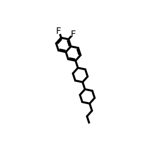 CCCC1CCC(C2CCC(c3ccc4c(F)c(F)ccc4c3)CC2)CC1